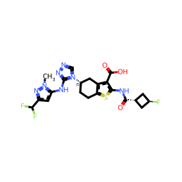 Cn1nc(C(F)F)cc1Nc1nncn1[C@H]1CCc2sc(NC(=O)[C@H]3C[C@H](F)C3)c(C(=O)O)c2C1